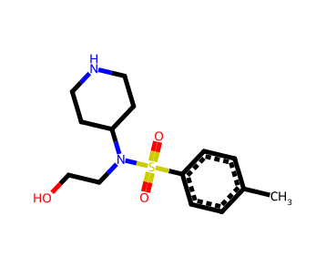 Cc1ccc(S(=O)(=O)N(CCO)C2CCNCC2)cc1